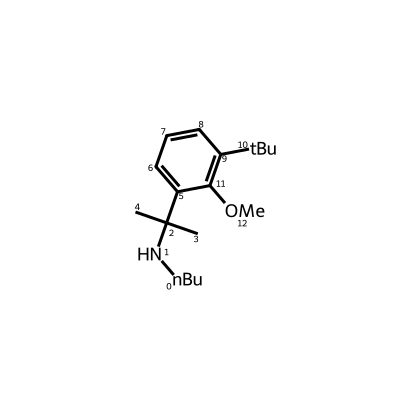 CCCCNC(C)(C)c1cccc(C(C)(C)C)c1OC